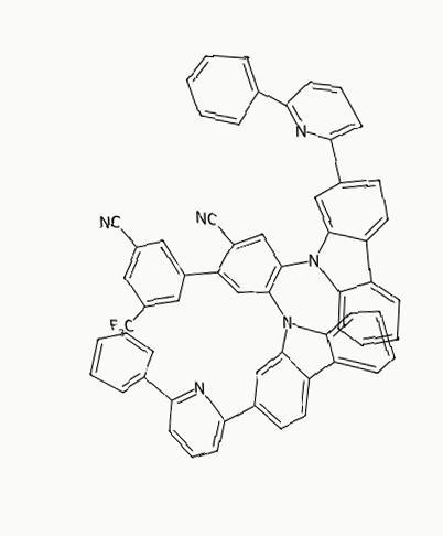 N#Cc1cc(-c2cc(-n3c4ccccc4c4ccc(-c5cccc(-c6ccccc6)n5)cc43)c(-n3c4ccccc4c4ccc(-c5cccc(-c6ccccc6)n5)cc43)cc2C#N)cc(C(F)(F)F)c1